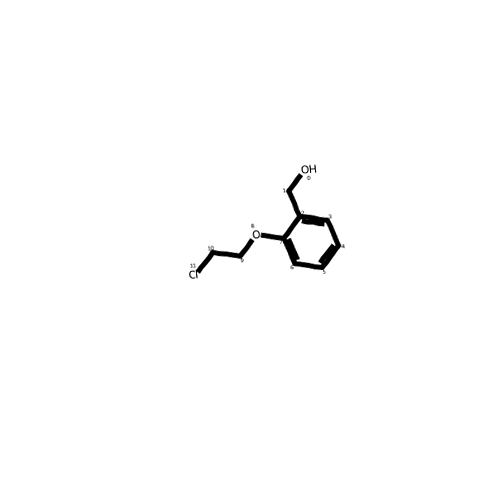 OCc1ccccc1OCCCl